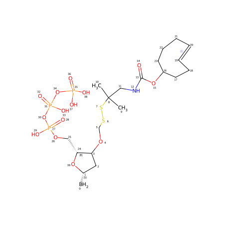 B[C@H]1CC(OCSSC(C)(C)CNC(=O)OC2CC/C=C/CCC2)[C@@H](COP(=O)(O)OP(=O)(O)OP(=O)(O)O)O1